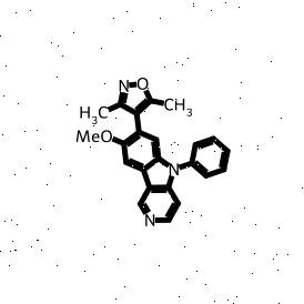 COc1cc2c3cnccc3n(-c3ccccc3)c2cc1-c1c(C)noc1C